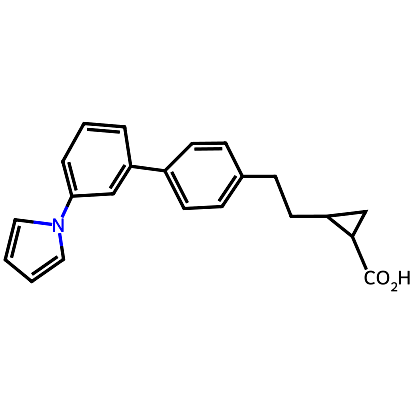 O=C(O)C1CC1CCc1ccc(-c2cccc(-n3cccc3)c2)cc1